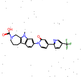 Cn1c2c(c3ccc(-n4ccc(-c5ccc(C(F)(F)F)cn5)cc4=O)cc31)CCCN(C(=O)O)C2